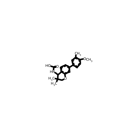 COc1ccc(-c2ccc3c(c2)OCC(C)(C)C3NC(=O)O)cc1C